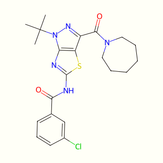 CC(C)(C)n1nc(C(=O)N2CCCCCC2)c2sc(NC(=O)c3cccc(Cl)c3)nc21